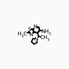 Cc1nc2c(C(C)N3CCCC3)c(N)cnc2s1